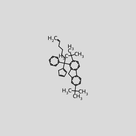 C=CCCCCC(C1=CC=CC1)(c1ccccc1)c1c(C(C)(C)C)ccc2c1Cc1cc(C(C)(C)C)ccc1-2